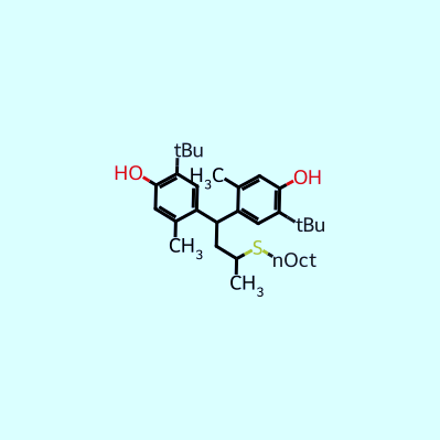 CCCCCCCCSC(C)CC(c1cc(C(C)(C)C)c(O)cc1C)c1cc(C(C)(C)C)c(O)cc1C